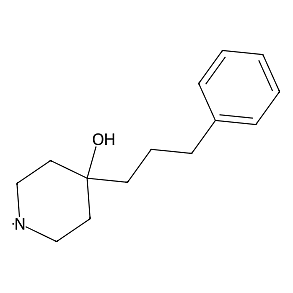 OC1(CCCc2ccccc2)CC[N]CC1